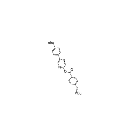 CCCCOc1ccc(C(=O)Oc2cnc(-c3ccc(CCCC)cc3)cn2)cc1